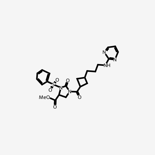 COC(=O)C1CN(C(=O)C2CC(CCCNc3ncccn3)C2)C(=O)N1S(=O)(=O)c1ccccc1